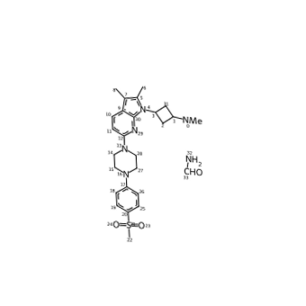 CNC1CC(n2c(C)c(C)c3ccc(N4CCN(c5ccc(S(C)(=O)=O)cc5)CC4)nc32)C1.NC=O